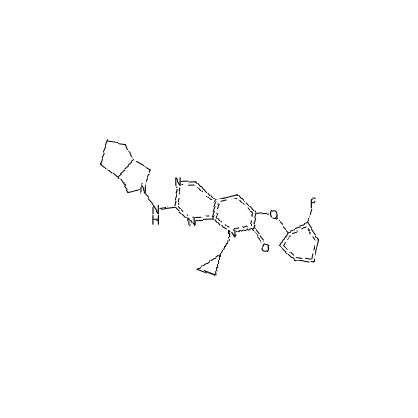 O=c1c(Oc2ccccc2F)cc2cnc(NN3CC4CCCC4C3)nc2n1C1CC1